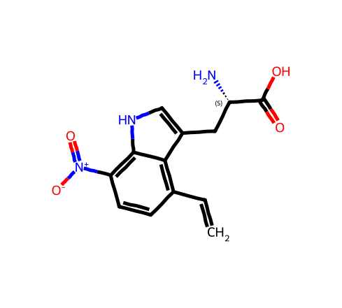 C=Cc1ccc([N+](=O)[O-])c2[nH]cc(C[C@H](N)C(=O)O)c12